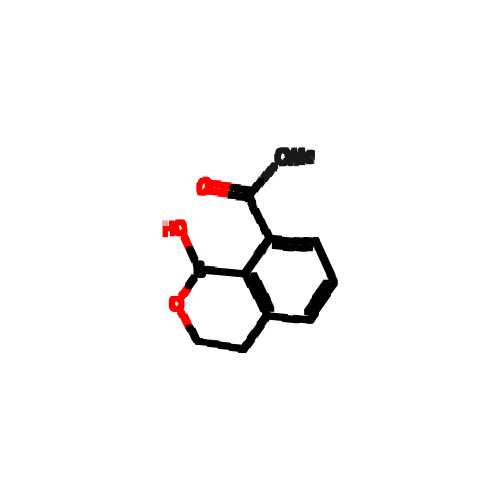 COC(=O)c1cccc2c1B(O)OCC2